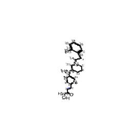 O=C(/C=C/c1cnc(N[C@@H]2CCCN(CCc3ccccc3F)C2)cn1)NO